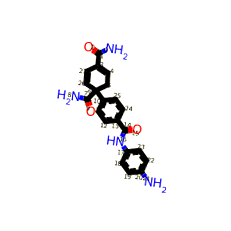 NC(=O)C1=CCC(C(N)=O)(c2ccc(C(=O)Nc3ccc(N)cc3)cc2)C=C1